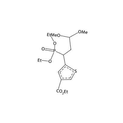 CCOC(=O)c1csc(C(CC(OC)OC)P(=O)(OCC)OCC)c1